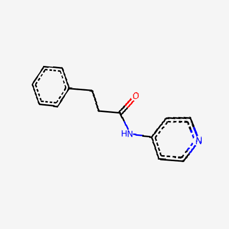 O=C(CCc1ccccc1)Nc1ccncc1